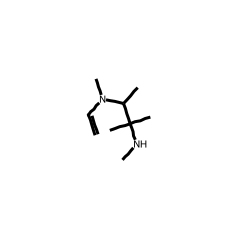 C=CN(C)C(C)C(C)(C)NC